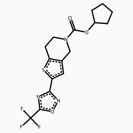 O=C(OC1CCCC1)N1CCc2sc(-c3noc(C(F)(F)F)n3)cc2C1